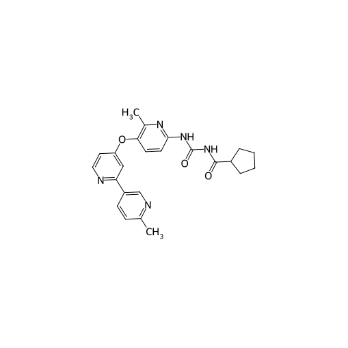 Cc1ccc(-c2cc(Oc3ccc(NC(=O)NC(=O)C4CCCC4)nc3C)ccn2)cn1